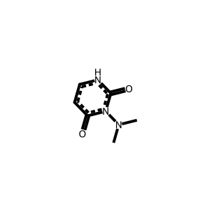 CN(C)n1c(=O)cc[nH]c1=O